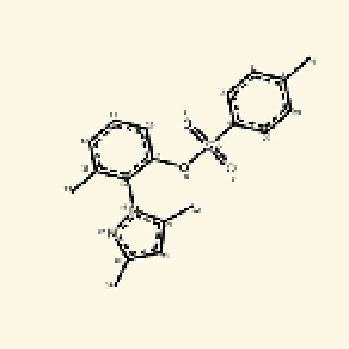 Cc1ccc(S(=O)(=O)Oc2cccc(C)c2-n2nc(C)cc2C)cc1